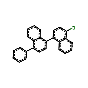 Clc1ccc(-c2ccc(-c3ccccc3)c3ccccc23)c2ccccc12